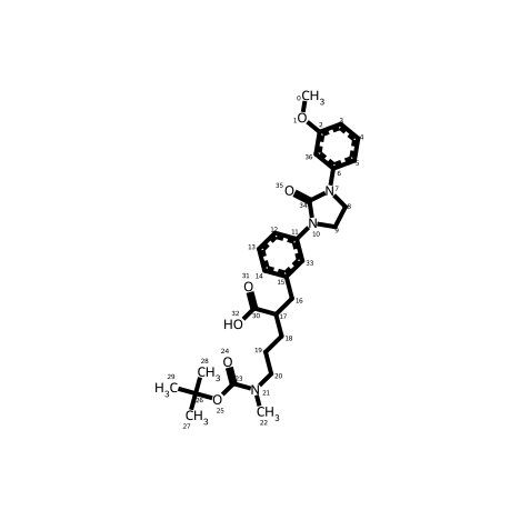 COc1cccc(N2CCN(c3cccc(CC(CCCN(C)C(=O)OC(C)(C)C)C(=O)O)c3)C2=O)c1